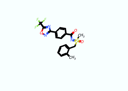 Cc1ccccc1CS(C)(=O)=NC(=O)c1ccc(-c2noc(C(F)(F)F)n2)cc1